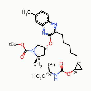 Cc1ccc2nc(CCCCC[C@@H]3C[C@H]3OC(=O)N[C@H](C(=O)O)C(C)(C)C)c(O[C@@H]3C[C@@H](C)N(C(=O)OC(C)(C)C)C3)nc2c1